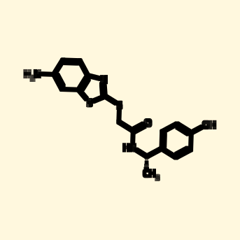 C[C@H](NC(=O)CSc1nc2ccc(N)cc2s1)c1ccc(O)cc1